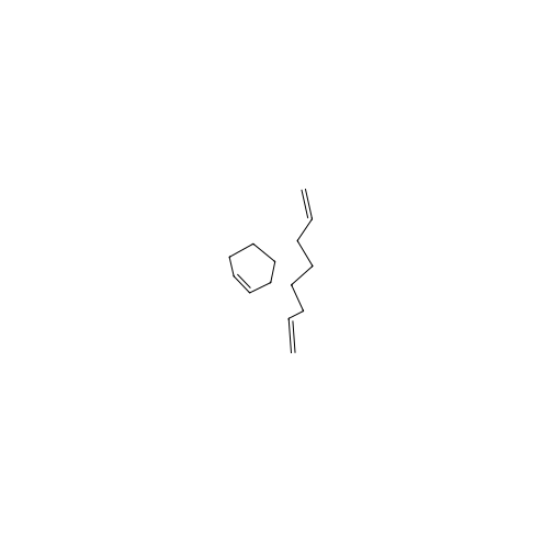 C1=CCCCC1.C=CCCCCC=C